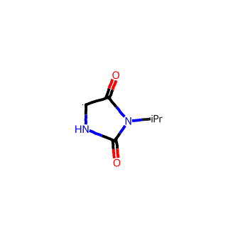 CC(C)N1C(=O)[CH]NC1=O